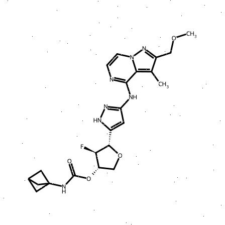 COCc1nn2ccnc(Nc3cc([C@@H]4OC[C@H](OC(=O)NC56CC(C5)C6)[C@H]4F)[nH]n3)c2c1C